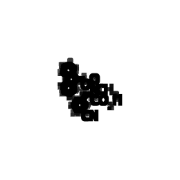 CN(C(=O)OCC1c2ccccc2-c2ccccc21)C(Cc1cccc(C#N)c1)C(=O)O